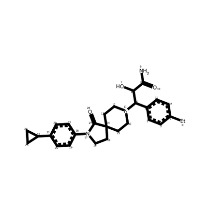 CCc1ccc(C(C(O)C(N)=O)N2CCC3(CCN(c4ccc(C5CC5)cc4)C3=O)CC2)cc1